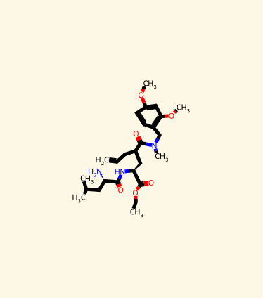 C=CCC(C[C@H](NC(=O)[C@@H](N)CC(C)C)C(=O)OCC)C(=O)N(C)Cc1ccc(OC)cc1OC